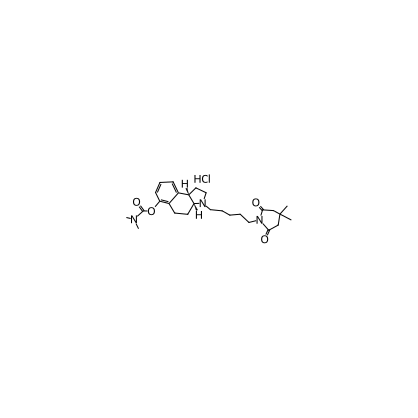 CN(C)C(=O)Oc1cccc2c1CC[C@@H]1[C@H]2CCN1CCCCCN1C(=O)CC(C)(C)CC1=O.Cl